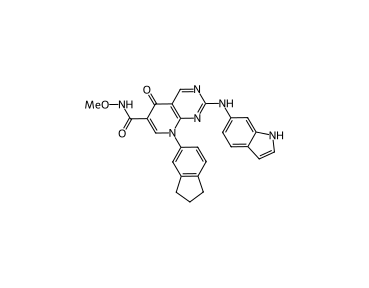 CONC(=O)c1cn(-c2ccc3c(c2)CCC3)c2nc(Nc3ccc4cc[nH]c4c3)ncc2c1=O